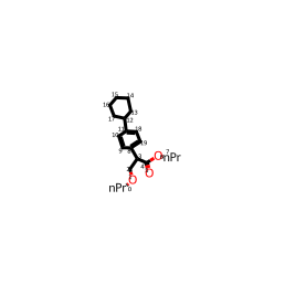 CCCOCC(C(=O)OCCC)c1ccc(C2CCCCC2)cc1